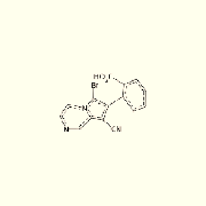 N#Cc1c(-c2ccccc2C(=O)O)c(Br)n2ccncc12